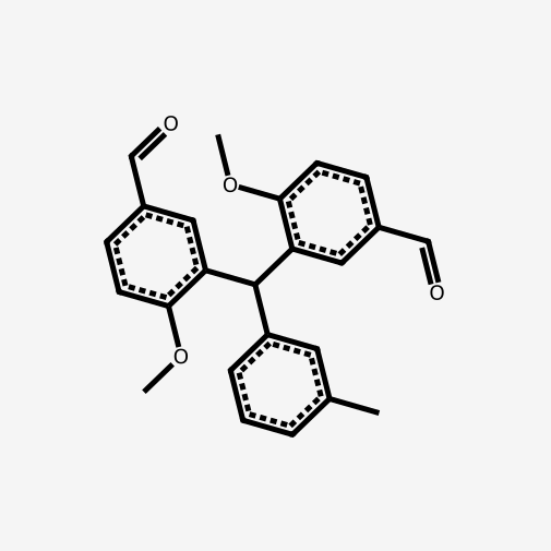 COc1ccc(C=O)cc1C(c1cccc(C)c1)c1cc(C=O)ccc1OC